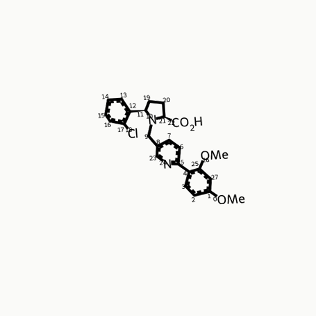 COc1ccc(-c2ccc(CN3[C@@H](c4ccccc4Cl)CC[C@H]3C(=O)O)cn2)c(OC)c1